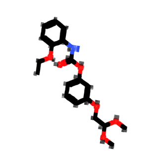 CCOc1ccccc1NC(=O)Oc1cccc(OCC(OC)OC)c1